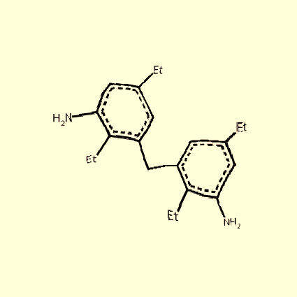 CCc1cc(N)c(CC)c(Cc2cc(CC)cc(N)c2CC)c1